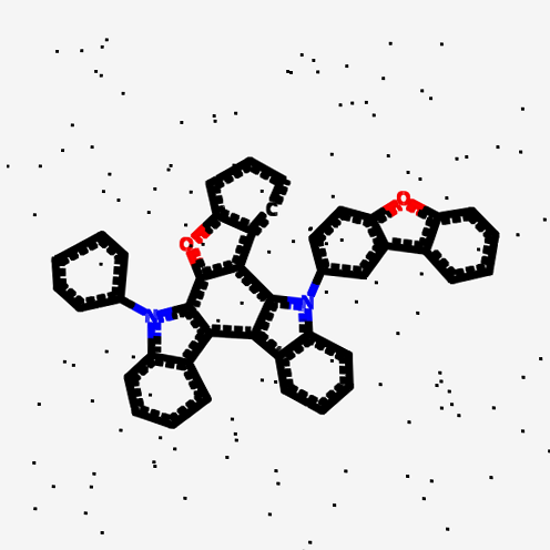 c1ccc(-n2c3ccccc3c3c4c5ccccc5n(-c5ccc6oc7ccccc7c6c5)c4c4c5ccccc5oc4c32)cc1